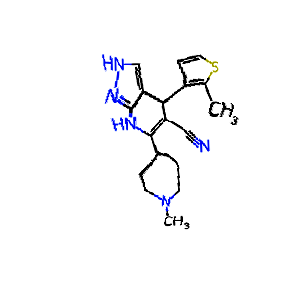 Cc1sccc1C1C(C#N)=C(C2CCN(C)CC2)Nc2n[nH]cc21